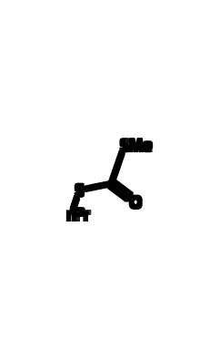 CCCSC(=O)SC